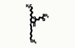 CCCCCCCC[C@H](CCCCCCC)NC(=O)CCC(N)=O